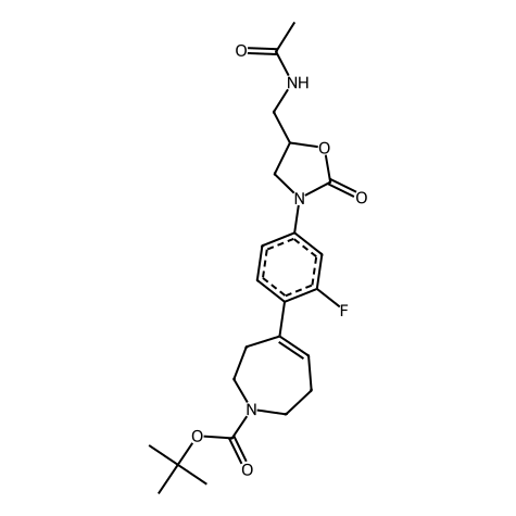 CC(=O)NCC1CN(c2ccc(C3=CCCN(C(=O)OC(C)(C)C)CC3)c(F)c2)C(=O)O1